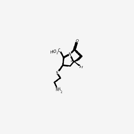 NCCSC1C[C@H]2CC(=O)N2C1C(=O)O